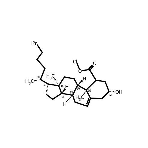 CC(C)CCC[C@@H](C)[C@H]1CC[C@H]2[C@@H]3CC=C4C[C@@H](O)CC(C(=O)OCl)[C@]4(C)[C@H]3CC[C@]12C